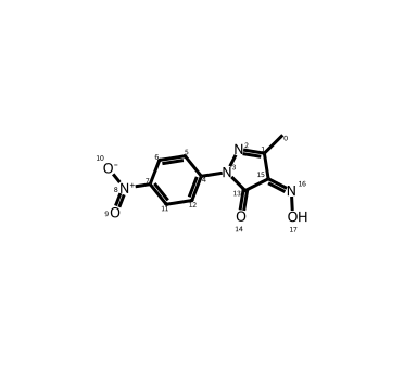 CC1=NN(c2ccc([N+](=O)[O-])cc2)C(=O)C1=NO